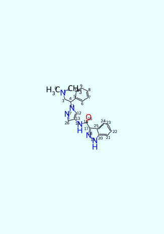 CN(C)CC(c1ccccc1)n1cc(NC(=O)c2n[nH]c3ccccc23)cn1